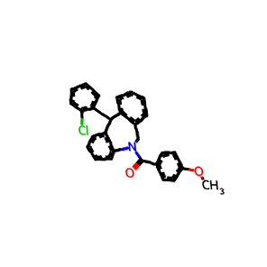 COc1ccc(C(=O)N2Cc3ccccc3C(c3ccccc3Cl)c3ccccc32)cc1